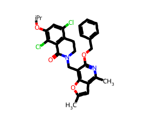 Cc1cc2c(C)nc(OCc3ccccc3)c(CN3CCc4c(Cl)cc(OC(C)C)c(Cl)c4C3=O)c2o1